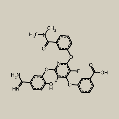 CN(C)C(=O)c1cccc(Oc2nc(Oc3cc(C(=N)N)ccc3O)c(F)c(Oc3cccc(C(=O)O)c3)c2F)c1